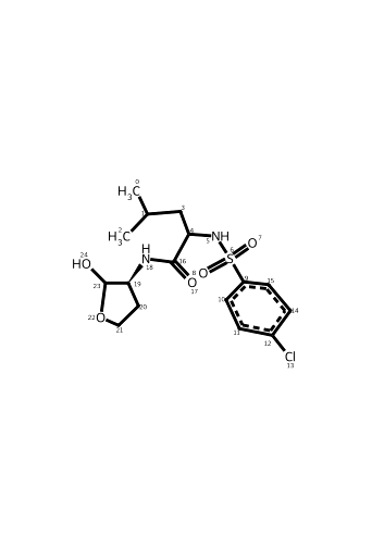 CC(C)CC(NS(=O)(=O)c1ccc(Cl)cc1)C(=O)N[C@H]1CCOC1O